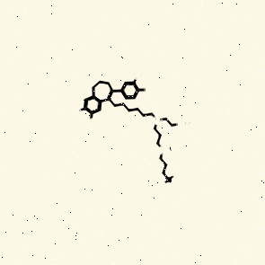 COCCN(CCCCCCC1=C(c2ccc(F)c(O)c2)CCCc2cc(O)c(F)cc21)CCC[S+]([O-])CCCC(F)(F)C(F)(F)F